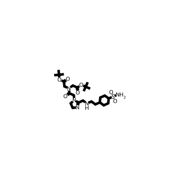 CC(C)(C)OC(=O)CN(CC(=O)OC(C)(C)C)C(=O)CN1CCN=C1CNCCC1CCC(S(N)(=O)=O)CC1